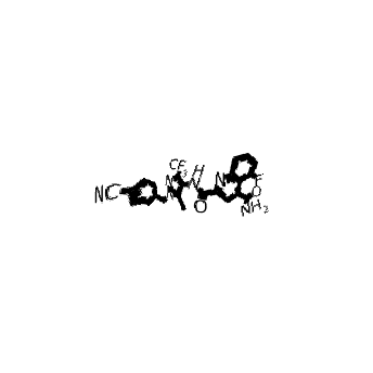 Cc1c(NC(=O)c2cc(C(N)=O)c3c(F)cccc3n2)c(C(F)(F)F)nn1Cc1ccc(C#N)cc1